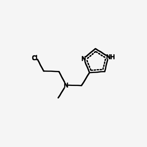 CN(CCCl)Cc1c[nH]cn1